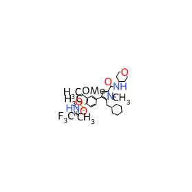 COC(C)(C)c1cc(-c2cc(C(=O)NC3CCOCC3)n(C)c2CC2CCCCC2)ccc1S(=O)(=O)N[C@@H](C)C(F)(F)F